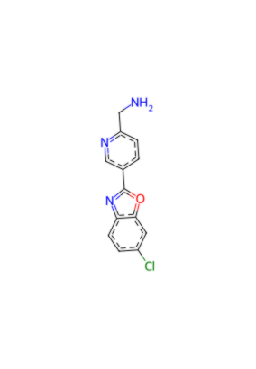 NCc1ccc(-c2nc3ccc(Cl)cc3o2)cn1